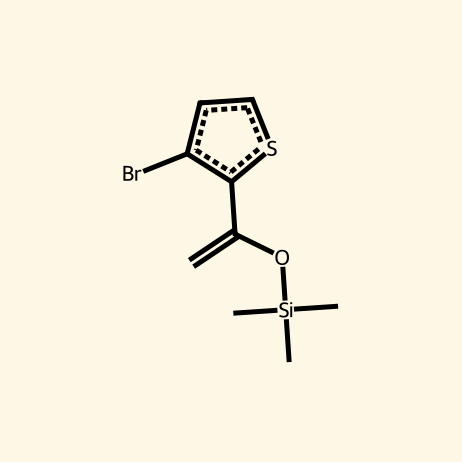 C=C(O[Si](C)(C)C)c1sccc1Br